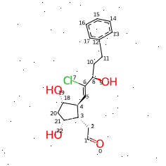 O=CC[C@H]1[C@H](C=C(Cl)[C@H](O)CCc2ccccc2)[C@@H](O)C[C@H]1O